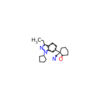 CCc1nn(C2CCCC2)c2cc(C3(C#N)CCCCC3=O)ccc12